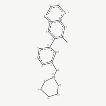 Cc1cc2nccnc2cc1-c1cccc(CN2CCCCC2)c1